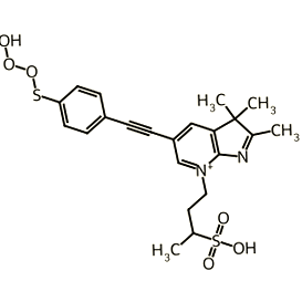 CC1=Nc2c(cc(C#Cc3ccc(SOOO)cc3)c[n+]2CCC(C)S(=O)(=O)O)C1(C)C